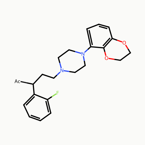 CC(=O)C(CCN1CCN(c2cccc3c2OCCO3)CC1)c1ccccc1F